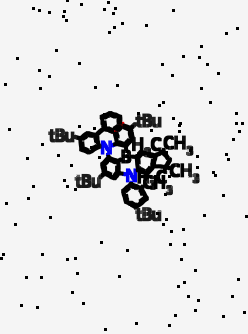 Cc1cc(C(C)(C)C)ccc1N1c2cc3c(cc2B2c4cc(C(C)(C)C)ccc4N(c4ccc(C(C)(C)C)cc4-c4ccccc4)c4cc(C(C)(C)C)cc1c42)C(C)(C)CC3(C)C